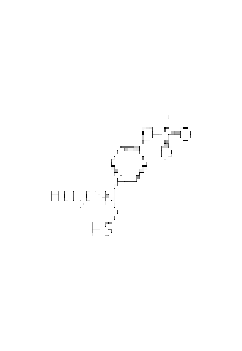 CS(=O)(=O)Oc1ccc(N(CS)C(=O)O)cc1